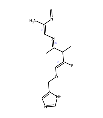 C=N/C(N)=C\N=C(/C)C(C)/C(F)=C/OCc1cnc[nH]1